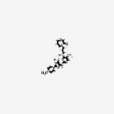 Cc1nc(N2CCN(C)CC2)oc1Nc1ncc(C(F)(F)F)c(NCCCN2CCCOCC2=O)n1